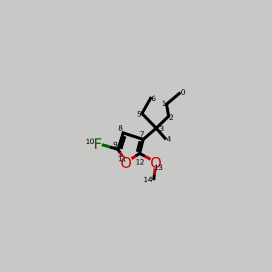 CCCC(C)(CC)c1cc(F)oc1OC